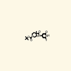 CC(C)(C)OC(=O)N1CCC(C)(C(=O)Nc2cc(F)[nH]c(=O)c2)CC1